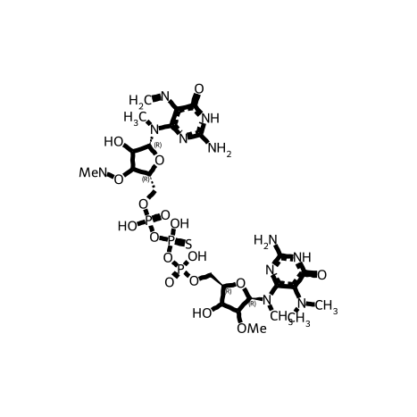 C=Nc1c(N(C)[C@@H]2O[C@H](COP(=O)(O)OP(O)(=S)OP(=O)(O)OC[C@H]3O[C@@H](N(C)c4nc(N)[nH]c(=O)c4N(C)C)C(OC)C3O)C(ONC)C2O)nc(N)[nH]c1=O